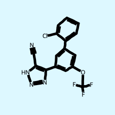 N#Cc1[nH]nnc1-c1cc(OC(F)(F)F)cc(-c2ccccc2Cl)c1